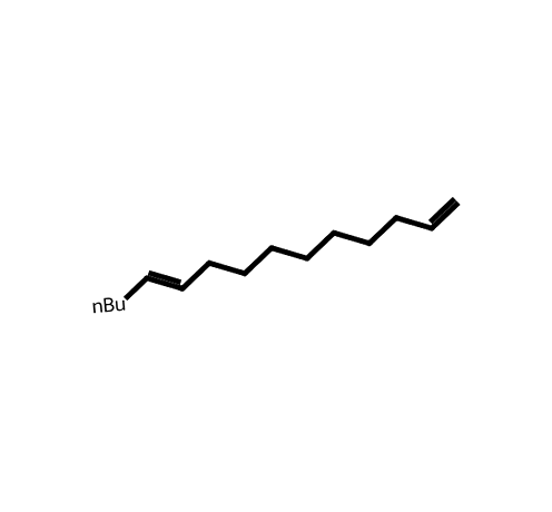 C=CCCCCCCCC=CCCCC